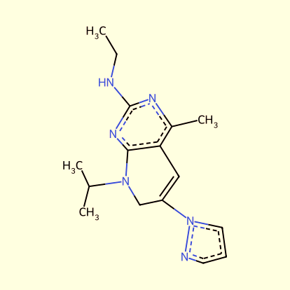 CCNc1nc(C)c2c(n1)N(C(C)C)CC(n1cccn1)=C2